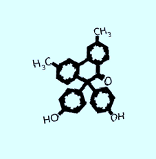 Cc1ccc2c(c1)-c1cc(C)ccc1C(c1ccc(O)cc1)(c1ccc(O)cc1)C2=O